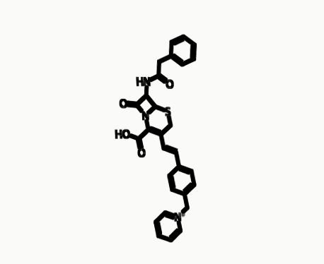 O=C(Cc1ccccc1)NC1C(=O)N2C(C(=O)O)=C(/C=C/c3ccc(C[n+]4ccccc4)cc3)CSC12